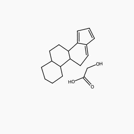 C1=CC2=CCC3C(CCC4CCCCC43)C2=C1.O=C(O)CO